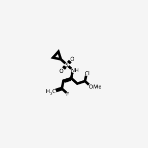 C=C(F)/C=C(\CC(Cl)OC)NS(=O)(=O)C1CC1